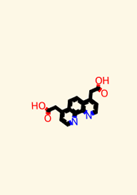 O=C(O)Cc1ccnc2c1ccc1c(CC(=O)O)ccnc12